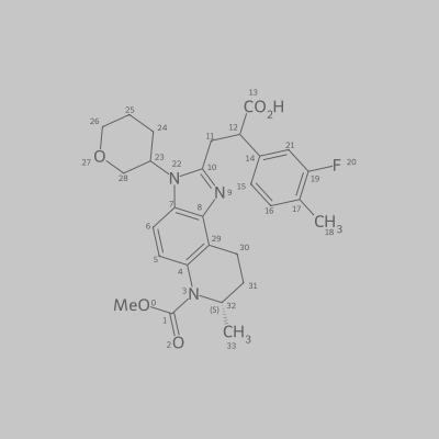 COC(=O)N1c2ccc3c(nc(CC(C(=O)O)c4ccc(C)c(F)c4)n3C3CCCOC3)c2CC[C@@H]1C